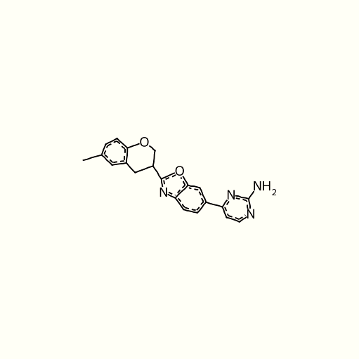 Cc1ccc2c(c1)CC(c1nc3ccc(-c4ccnc(N)n4)cc3o1)CO2